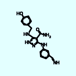 N=Cc1cccc(Nc2n[nH]c(NCc3ccc(O)cc3)c2C(N)=O)c1